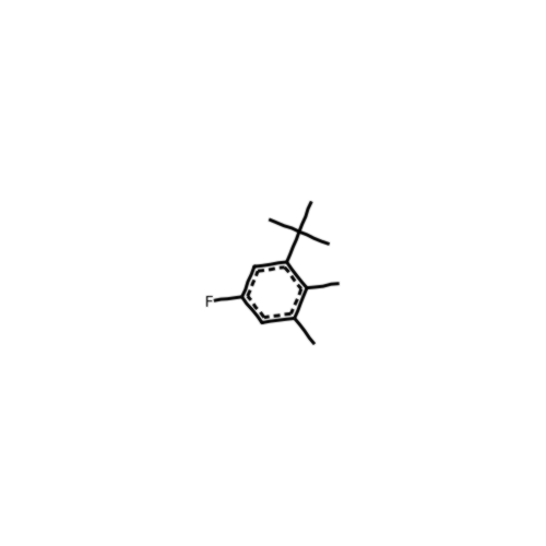 Cc1cc(F)cc(C(C)(C)C)c1C